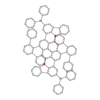 c1ccc(-c2cccc(-c3ccccc3)c2-c2cc3c4c(cc5c(-c6c(-c7ccccc7)cccc6-c6ccccc6)cc6c7c(cc2c4c57)B2c4ccccc4-c4cc(N(c5ccccc5)c5ccccc5)cc-6c42)B2c4ccccc4-c4cc(N(c5ccccc5)c5ccccc5)cc-3c42)cc1